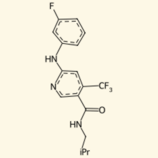 CC(C)CNC(=O)c1cnc(Nc2cccc(F)c2)cc1C(F)(F)F